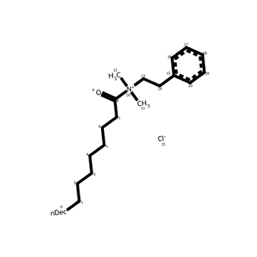 CCCCCCCCCCCCCCCCCC(=O)[N+](C)(C)CCc1ccccc1.[Cl-]